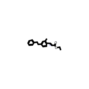 CCOC(=O)/C=C/c1ccc(CCc2ccccc2)cc1C